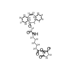 O=C(COC1Cc2ccccc2C#Cc2ccccc21)NCCCCCC(=O)ON1C(=O)CCC1=O